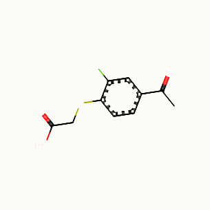 CC(=O)c1ccc(SCC(=O)O)c(F)c1